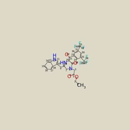 CCOC(=O)CN1CC(Cc2c[nH]c3ccccc23)NC(C(=O)c2cc(C(F)(F)F)cc(C(F)(F)F)c2)C1=O